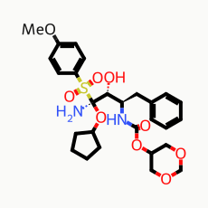 COc1ccc(S(=O)(=O)[C@](N)(OC2CCCC2)[C@H](O)[C@@H](Cc2ccccc2)NC(=O)OC2COCOC2)cc1